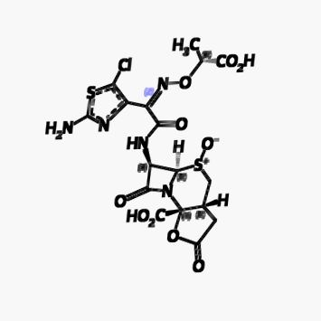 C[C@@H](O/N=C(\C(=O)N[C@@H]1C(=O)N2[C@@H]1[S+]([O-])C[C@@H]1CC(=O)O[C@@]12C(=O)O)c1nc(N)sc1Cl)C(=O)O